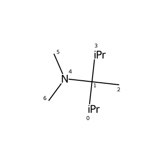 CC(C)C(C)(C(C)C)N(C)C